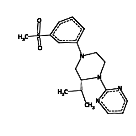 CC(C)[C@@H]1CN(c2cccc(S(C)(=O)=O)c2)CCN1c1ncccn1